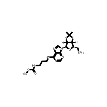 CSC[C@H]1O[C@@H](n2cnc3c(NCCCNC(=O)OC(C)(C)C)ncnc32)[C@@H]2OC(C)(C)O[C@@H]21